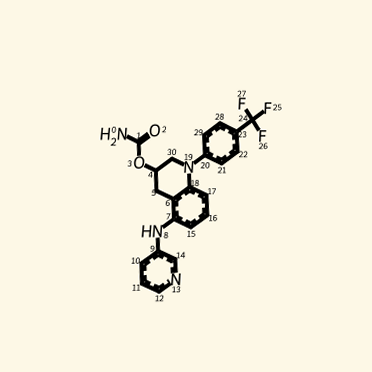 NC(=O)OC1Cc2c(Nc3cccnc3)cccc2N(c2ccc(C(F)(F)F)cc2)C1